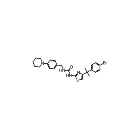 CC(C)(c1ccc(Br)cc1)c1csc(NC(=O)NCc2ccc(N3CCCCC3)cc2)n1